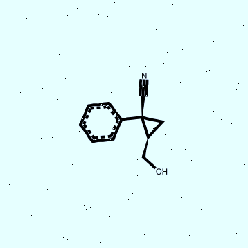 N#C[C@@]1(c2ccccc2)C[C@H]1CO